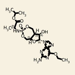 CCOc1nc(N)nc2c1ncn2[C@@H]1O[C@@H]2CO[P@](=O)(N[C@H](C)C(=O)OC(C)C)OC[C@H]2[C@H]1O